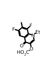 CCn1cc(OC(=O)O)c(=O)c2cc(F)c(C)c(F)c21